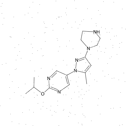 Cc1cc(N2CCNCC2)nn1-c1cnc(OC(C)C)nc1